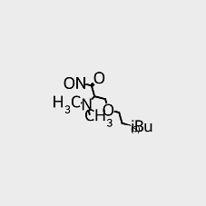 CC[C@H](C)CCOCC(C(=O)N=O)N(C)C